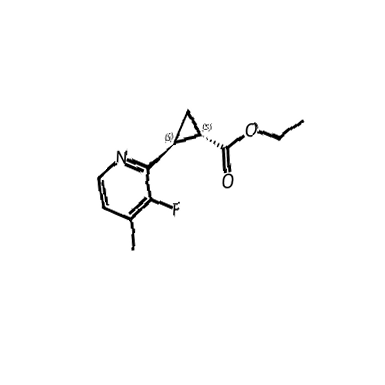 CCOC(=O)[C@H]1C[C@@H]1c1nccc(C)c1F